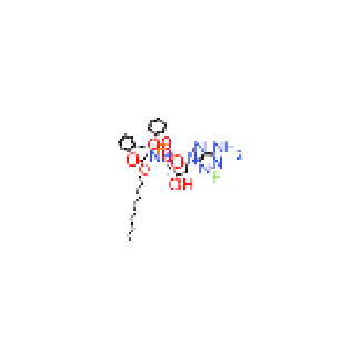 CCCCCCCCCCOC(=O)[C@H](Cc1ccccc1)NP(=O)(OC[C@@]1(C)O[C@@H](n2cnc3c(N)nc(F)nc32)C[C@@H]1O)Oc1ccccc1